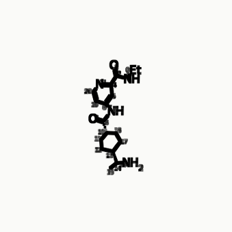 CCNC(=O)c1cc(NC(=O)[C@H]2CC[C@H](C(C)N)CC2)ccn1